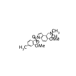 COc1cc(C)ccc1S(=O)(=O)n1ccc2c(CN(C)C)c(OC)ccc21